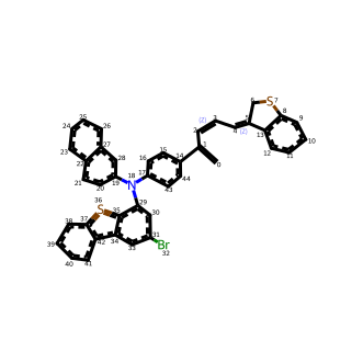 C=C(/C=C\C=C1/CSc2ccccc21)c1ccc(N(c2ccc3ccccc3c2)c2cc(Br)cc3c2sc2ccccc23)cc1